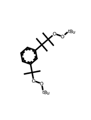 CC(C)(C)OOC(C)(C)c1cccc(C(C)(C)C(C)(C)OOC(C)(C)C)c1